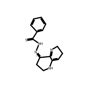 S=C(N/N=C1/CCNC2=CCCN=C21)c1ccccc1